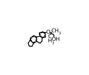 CC(C)(CO)Oc1ccc2c(c1)CCc1c-2ccc2c1CCC2